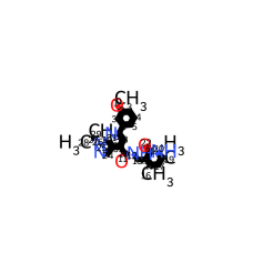 COc1cccc(-c2cc(C(=O)NCc3c(C)cc(C)[nH]c3=O)c3cnn(C(C)C)c3n2)c1